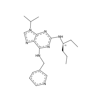 CCC[C@H](CC)Nc1nc(NCc2cccnc2)c2ncn(C(C)C)c2n1